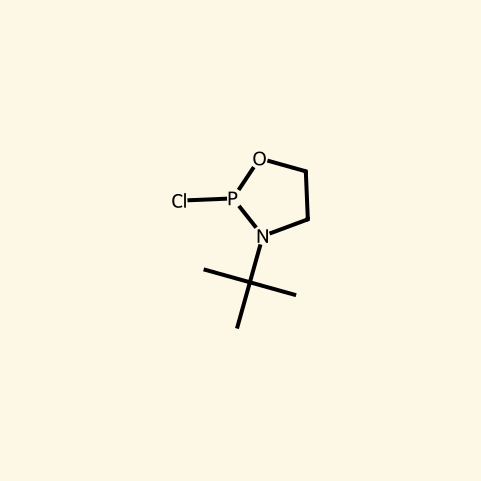 CC(C)(C)N1CCOP1Cl